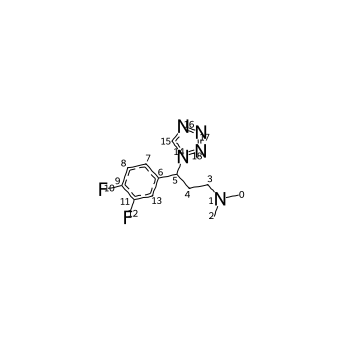 CN(C)CCC(c1ccc(F)c(F)c1)n1cnnn1